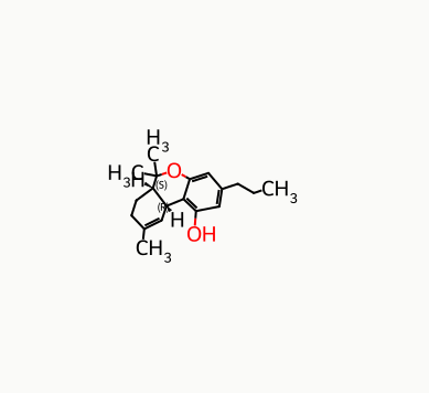 CCCc1cc(O)c2c(c1)OC(C)(C)[C@H]1CCC(C)=C[C@@H]21